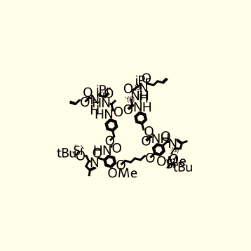 C=CCCC(=O)N[C@H](C(=O)N[C@@H](C)C(=O)Nc1ccc(COC(=O)Nc2cc(OCCCCCOc3cc(NC(=O)OCc4ccc(NC(=O)C(C)NC(=O)[C@@H](NC(=O)OCC=C)C(C)C)cc4)c(C(=O)N4C=C(C)CC4CO[Si](C)(C)C(C)(C)C)cc3OC)c(OC)cc2C(=O)N2C=C(C)C[C@H]2CO[Si](C)(C)C(C)(C)C)cc1)C(C)C